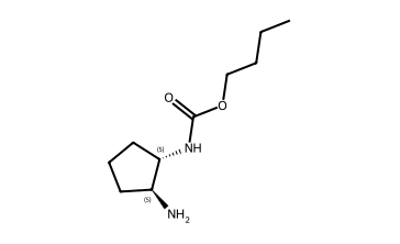 CCCCOC(=O)N[C@H]1CCC[C@@H]1N